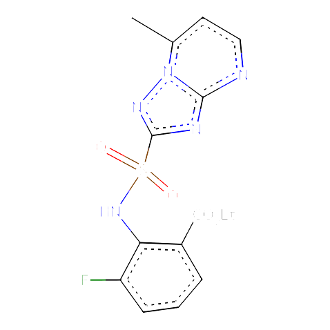 CCOC(=O)c1cccc(F)c1NS(=O)(=O)c1nc2nccc(C)n2n1